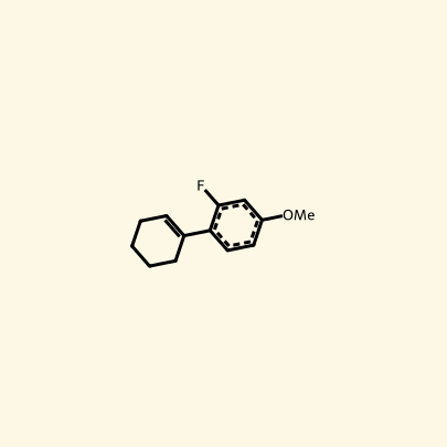 COc1ccc(C2=CCCCC2)c(F)c1